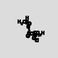 Cc1cc2c(OCCC[C@H]3Cc4ccccc4C34CCC(Nc3cccc(Cl)c3)(C(=O)O)CC4)cccc2[nH]1